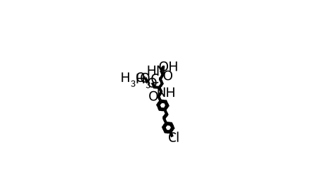 COCOCC(CC(C)C(=O)NO)NC(=O)c1ccc(C=Cc2ccc(Cl)cc2)cc1